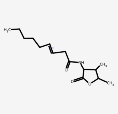 CCCCC/C=C/CC(=O)NC1C(=O)OC(C)C1C